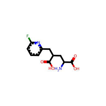 NC(CC(Cc1cccc(F)n1)C(=O)O)C(=O)O